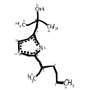 CCCC(C)c1nc(C(C)(C)O)cs1